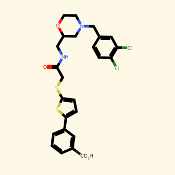 O=C(CSc1ccc(-c2cccc(C(=O)O)c2)s1)NCC1CN(Cc2ccc(Cl)c(Cl)c2)CCO1